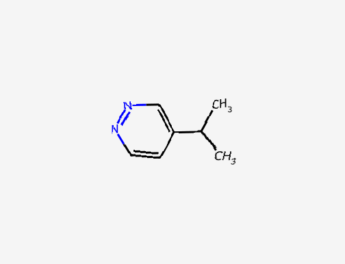 CC(C)c1ccnnc1